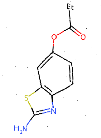 CCC(=O)Oc1ccc2nc(N)sc2c1